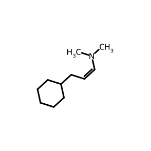 CN(C)/C=C\CC1CCCCC1